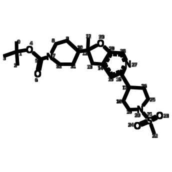 CC(C)(C)OC(=O)N1CCC(C2(C)Cc3cc(C4CCN(S(C)(=O)=O)CC4)ncc3O2)CC1